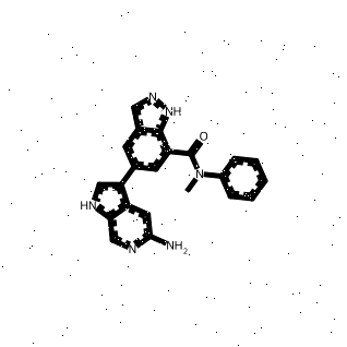 CN(C(=O)c1cc(-c2c[nH]c3cnc(N)cc23)cc2cn[nH]c12)c1ccccc1